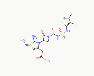 CO/N=S1/C=C(CC(N)=O)N(C2CN(C(=O)NS(=O)(=O)Nc3snc(C)c3C)C2=O)C1N